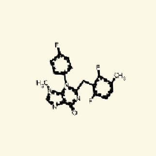 Cc1ccc(F)c(Cc2nc(=O)c3ncn(C)c3n2-c2ccc(F)cc2)c1F